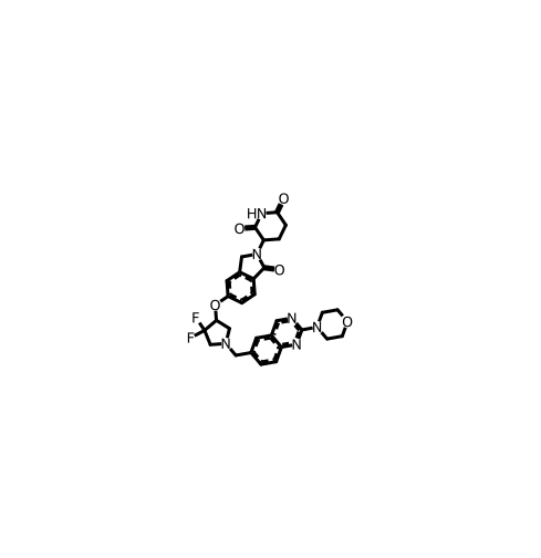 O=C1CCC(N2Cc3cc(OC4CN(Cc5ccc6nc(N7CCOCC7)ncc6c5)CC4(F)F)ccc3C2=O)C(=O)N1